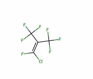 FC(Cl)=C(C(F)(F)F)C(F)(F)F